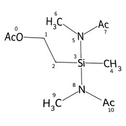 CC(=O)OCC[Si](C)(N(C)C(C)=O)N(C)C(C)=O